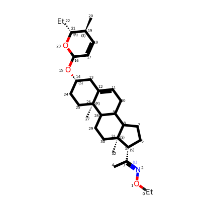 CCO/N=C(\C)[C@H]1CCC2C3CC=C4C[C@@H](OC5C=C[C@H](C)[C@@H](CC)O5)CC[C@]4(C)C3CC[C@@]21C